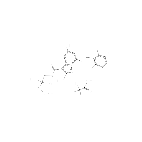 CCCC(C)(CNC(=O)c1c(C)nn2c(OCc3c(F)ccc(F)c3F)cc(C)cc12)NC(=O)O.O=C(O)C(F)(F)F